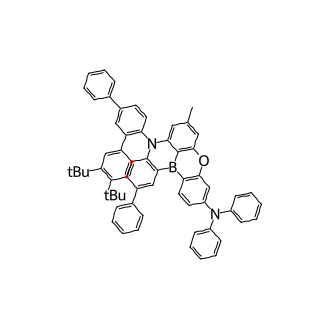 Cc1cc2c3c(c1)N(c1ccc(-c4ccccc4)cc1-c1ccc(C(C)(C)C)c(C(C)(C)C)c1)c1ccc(-c4ccccc4)cc1B3c1ccc(N(c3ccccc3)c3ccccc3)cc1O2